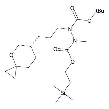 CN(C(=O)OCC[Si](C)(C)C)N(CCC[C@@H]1CCC2(CC2)OC1)C(=O)OC(C)(C)C